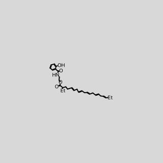 CCC=CCC=CCC=CCC=CCC=CCCC(CC)C(=O)OCCNC(=O)c1ccccc1O